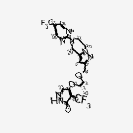 C[C@@H](COCc1cc2n(n1)CCN(c1ncc(C(F)(F)F)cn1)C2)Oc1cn[nH]c(=O)c1C(F)(F)F